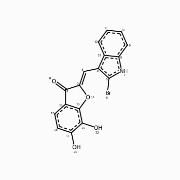 O=C1C(=Cc2c(Br)[nH]c3ccccc23)Oc2c1ccc(O)c2O